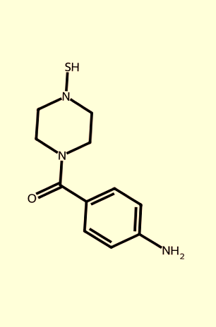 Nc1ccc(C(=O)N2CCN(S)CC2)cc1